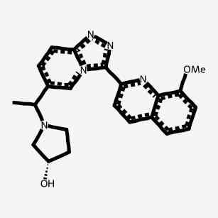 COc1cccc2ccc(-c3nnc4ccc(C(C)N5CC[C@H](O)C5)cn34)nc12